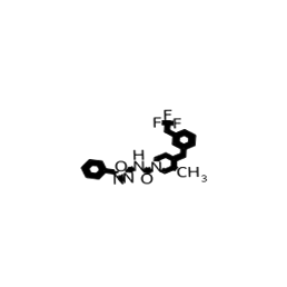 CC1CN(C(=O)Nc2nnc(-c3ccccc3)o2)CC/C1=C\c1cccc(CC(F)(F)F)c1